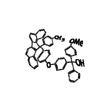 COc1ccc(C(O)(c2ccccc2)c2ccc(Oc3ccc(C4(c5ccc(C)cc5)c5c(ccc6ccccc56)-c5ccc6ccccc6c54)cc3)cc2)cc1